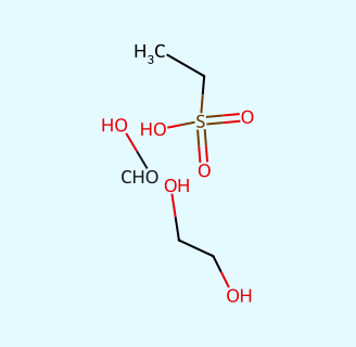 CCS(=O)(=O)O.O=CO.OCCO